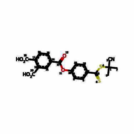 CC(C)(C#N)SC(=S)c1ccc(OC(=O)c2ccc(C(=O)O)c(C(=O)O)c2)cc1